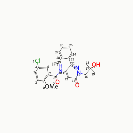 COc1ccc(Cl)cc1C(=O)Nc1cc(=O)n(CC(C)(C)O)nc1-c1ccccc1C(C)C